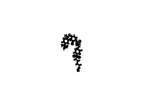 Cc1ccc(C(=O)NCc2ccc(S(=O)(=O)CC=CCC#N)cc2)c(=O)n1-c1cccc(C(F)(F)F)c1